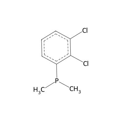 CP(C)c1cccc(Cl)c1Cl